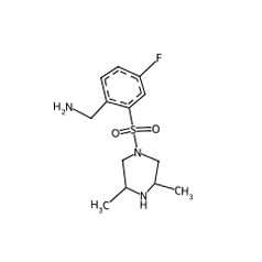 CC1CN(S(=O)(=O)c2cc(F)ccc2CN)CC(C)N1